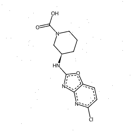 O=C(O)N1CCC[C@@H](Nc2nc3nc(Cl)ccc3o2)C1